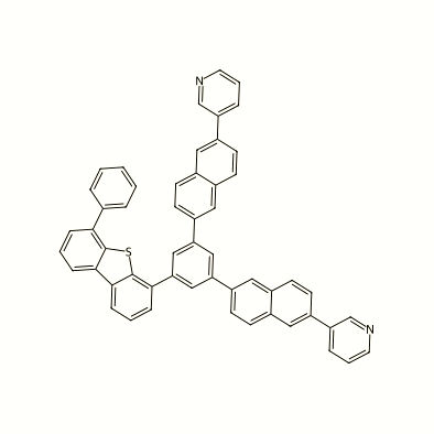 c1ccc(-c2cccc3c2sc2c(-c4cc(-c5ccc6cc(-c7cccnc7)ccc6c5)cc(-c5ccc6cc(-c7cccnc7)ccc6c5)c4)cccc23)cc1